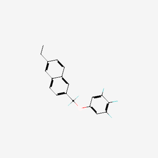 CCc1ccc2cc(C(F)(F)Oc3cc(F)c(F)c(F)c3)ccc2c1